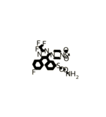 CS(=O)(=O)N1CCN(c2nc(C(F)(F)F)nc(-c3ccc(F)cc3)c2-c2cccc(SOON)c2)CC1